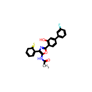 CC(=O)Nc1oc(-c2ccc(-c3cccc(F)c3)cc2O)nc1C1=CC=CCC1=S